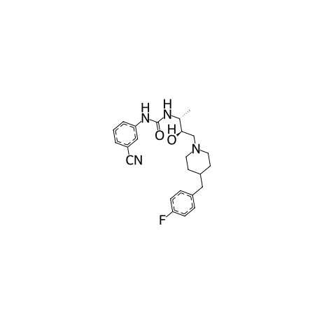 C[C@@H](NC(=O)Nc1cccc(C#N)c1)[C@H](O)CN1CCC(Cc2ccc(F)cc2)CC1